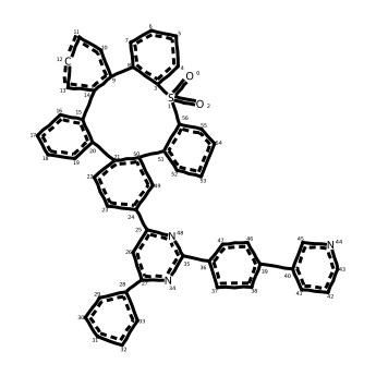 O=S1(=O)c2ccccc2-c2ccccc2-c2ccccc2-c2ccc(-c3cc(-c4ccccc4)nc(-c4ccc(-c5cccnc5)cc4)n3)cc2-c2ccccc21